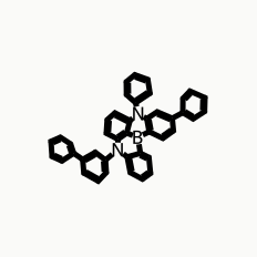 c1ccc(-c2cccc(N3c4ccccc4B4c5ccc(-c6ccccc6)cc5N(c5ccccc5)c5cccc3c54)c2)cc1